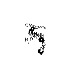 COc1cc2ccnc(-n3nc(Nc4ccc(OCCN5CCCC5)cc4)nc3N)c2cc1OC